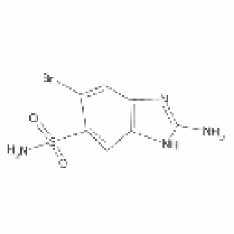 Nc1nc2cc(Br)c(S(N)(=O)=O)cc2[nH]1